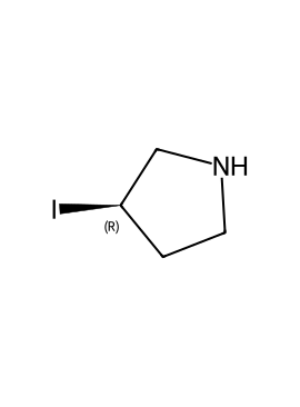 I[C@@H]1CCNC1